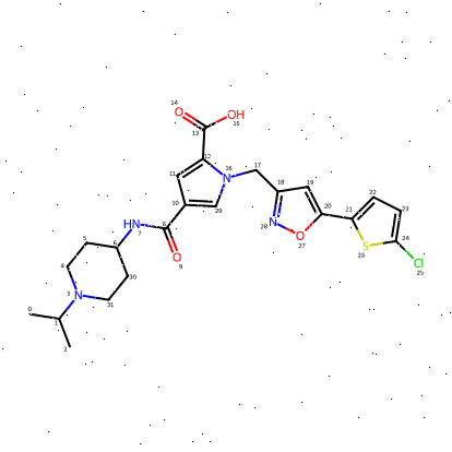 CC(C)N1CCC(NC(=O)c2cc(C(=O)O)n(Cc3cc(-c4ccc(Cl)s4)on3)c2)CC1